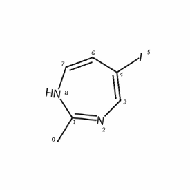 CC1=NC=C(I)C=CN1